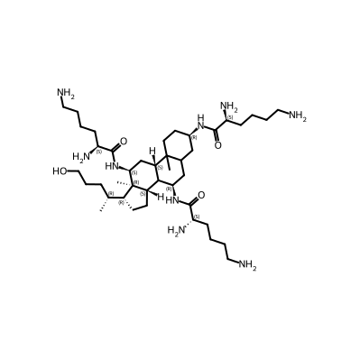 C[C@H](CCCO)[C@H]1CC[C@H]2C3[C@H](NC(=O)[C@@H](N)CCCCN)CC4C[C@H](NC(=O)[C@@H](N)CCCCN)CCC4(C)[C@H]3C[C@H](NC(=O)[C@@H](N)CCCCN)[C@]12C